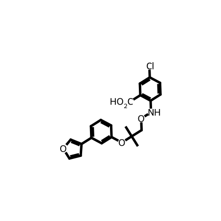 CC(C)(CONc1ccc(Cl)cc1C(=O)O)Oc1cccc(-c2ccoc2)c1